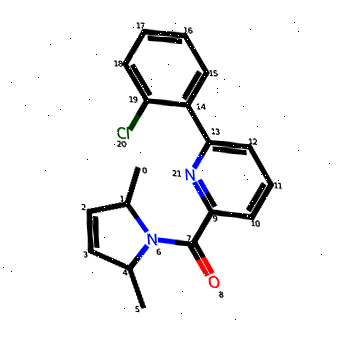 CC1C=CC(C)N1C(=O)c1cccc(-c2ccccc2Cl)n1